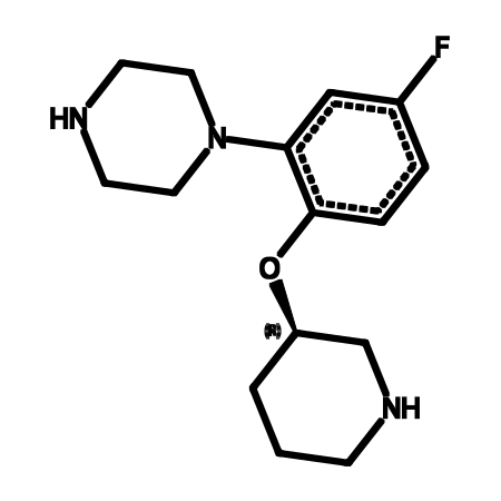 Fc1ccc(O[C@@H]2CCCNC2)c(N2CCNCC2)c1